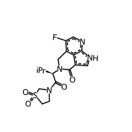 CC(C)[C@H](C(=O)N1CCS(=O)(=O)C1)N1Cc2c(F)cnc3[nH]cc(c23)C1=O